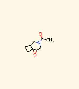 CC(=O)N1CC2CCC23OC3C1